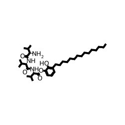 CCCCCCCCCCCCCCCc1cccc(OC(=O)[C@@H](NC(=O)[C@@H](NC(=O)[C@@H](N)C(C)C)C(C)C)C(C)C)c1O